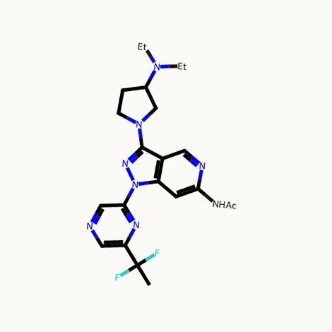 CCN(CC)C1CCN(c2nn(-c3cncc(C(C)(F)F)n3)c3cc(NC(C)=O)ncc23)C1